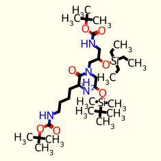 CC[Si](CC)(CC)OC(CNC(=O)OC(C)(C)C)CN(CCO[Si](C)(C)C(C)(C)C)C(=O)[C@@H](N)CCCCNC(=O)OC(C)(C)C